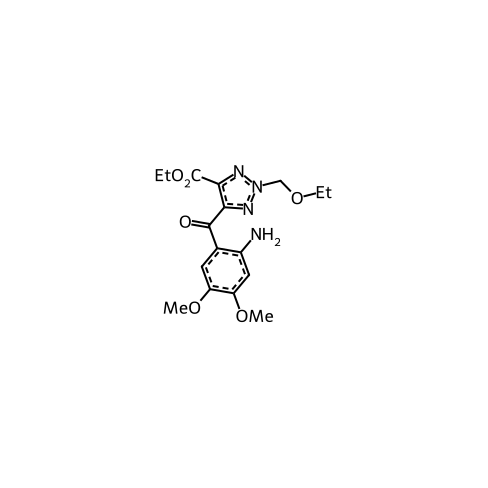 CCOCn1nc(C(=O)OCC)c(C(=O)c2cc(OC)c(OC)cc2N)n1